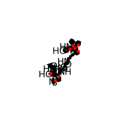 Cc1ncsc1-c1cccc([C@H](CC(=O)NCCOCCC(=O)NCCCCC#Cc2cccc(Cn3c(-c4ccccc4)c(-c4ccccc4)c4c(=N)n(C5CCC(O)CC5)cnc43)c2)NC(=O)[C@@H]2C[C@@H](O)CN2C(=O)C(NC(=O)C2(F)CC2)C(C)(C)C)c1